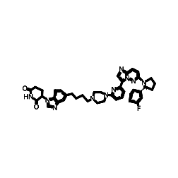 O=C1CCC(n2cnc3cc(CCCCN4CCN(c5cccc(-c6cnc7ccc(N8CCC[C@@H]8c8cccc(F)c8)nn67)n5)CC4)ccc32)C(=O)N1